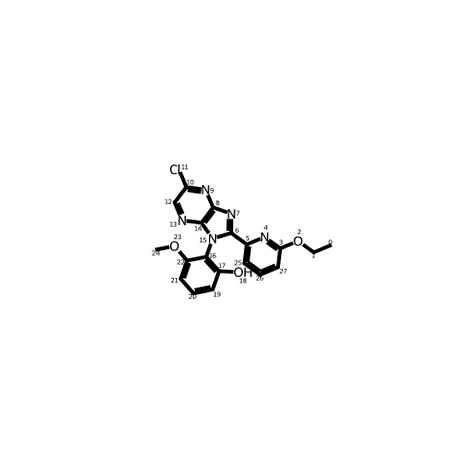 CCOC1=NC(c2nc3nc(Cl)cnc3n2-c2c(O)cccc2OC)=C=C=C1